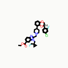 [2H][C@]1(c2ccc(Cl)cc2F)COc2cccc(C3CCN(Cc4nc5ccc(C(=O)OCC)cc5n4CC4(CF)CC4)CC3)c2O1